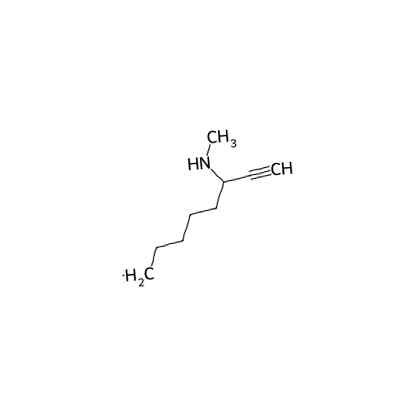 C#CC(CCCC[CH2])NC